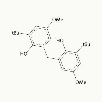 COc1cc(Cc2cc(OC)cc(C(C)(C)C)c2O)c(O)c(C(C)(C)C)c1